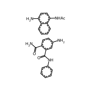 CC(=O)Nc1ccc(N)c2ccccc12.NC(=O)c1ccc(N)cc1C(=O)Nc1ccccc1